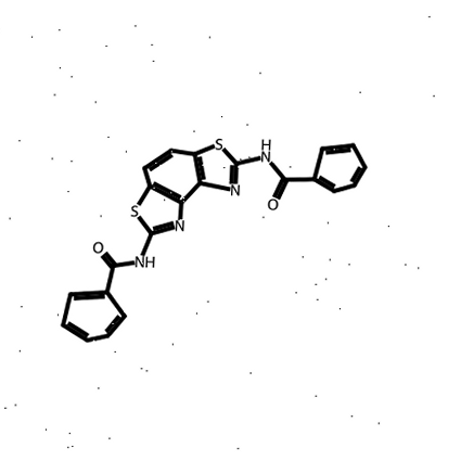 O=C(Nc1nc2c(ccc3sc(NC(=O)c4ccccc4)nc32)s1)c1ccccc1